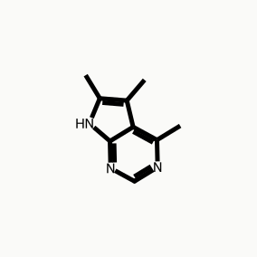 Cc1[nH]c2ncnc(C)c2c1C